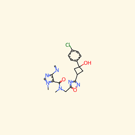 C=Nc1ncn(C)c1C(=O)N(C)Cc1nc(C2CC(O)(c3ccc(Cl)cc3)C2)no1